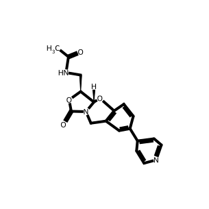 CC(=O)NC[C@@H]1OC(=O)N2Cc3cc(-c4ccncc4)ccc3O[C@@H]12